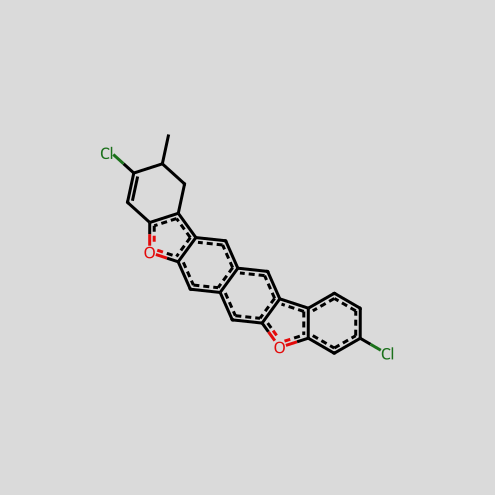 CC1Cc2c(oc3cc4cc5oc6cc(Cl)ccc6c5cc4cc23)C=C1Cl